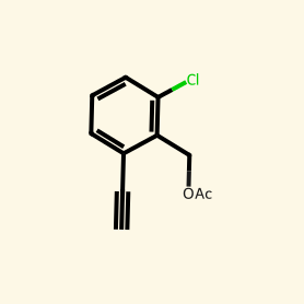 C#Cc1cccc(Cl)c1COC(C)=O